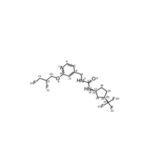 O=C(NCc1ccnc(OCC(F)CF)c1)N[C@H]1CC[C@@H](C(F)(F)F)C1